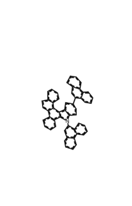 c1ccc2c(c1)cc(-c1ccc3c(c1)c1c4c5ccccc5ccc4c4ccccc4c1n3-c1cc3ccccc3c3ccccc13)c1ccccc12